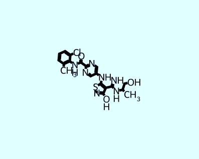 Cc1cccc(Cl)c1NC(=O)c1ncc(Nc2snc(O)c2C(=N)NC(C)CO)cn1